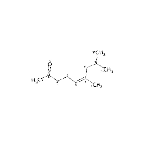 CC(=O)CCC=C(C)CC(C)C